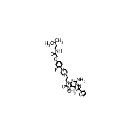 CN(C)CCNC(=O)COc1ccc(N2CCN(CCn3c(=O)n(C)c4c3nc(N)n3nc(-c5ccco5)nc43)CC2)c(F)c1